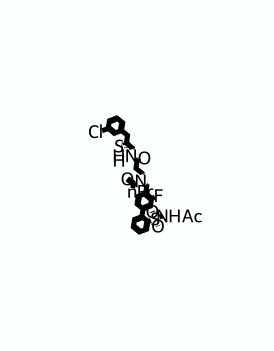 CCCC(=O)N(CCC(=O)NC[C@@H](S)Cc1cccc(Cl)c1)Cc1ccc(-c2ccccc2S(=O)(=O)NC(C)=O)cc1F